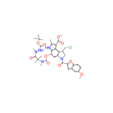 COC(=O)c1c(C)[nH]c2c(OC(=O)N(C)C(C)(C)C(=O)N(C)NC(=O)OC(C)(C)C)cc3c(c12)C(CCl)CN3C(=O)c1cc2cc(OC)ccc2o1